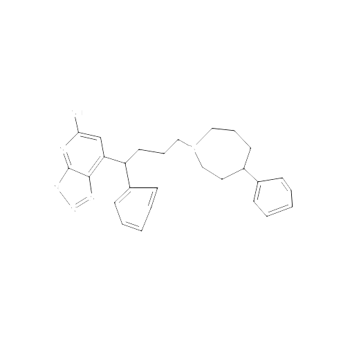 Nc1cc(C(CCCN2CCCC(c3ccccc3)CC2)c2ccccc2)c2nn[nH]c2n1